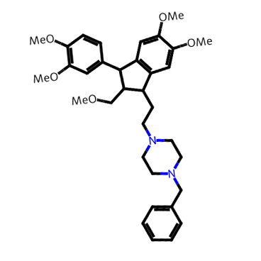 COCC1C(CCN2CCN(Cc3ccccc3)CC2)c2cc(OC)c(OC)cc2C1c1ccc(OC)c(OC)c1